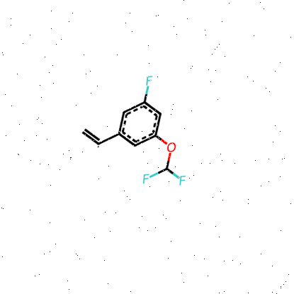 C=[C]c1cc(F)cc(OC(F)F)c1